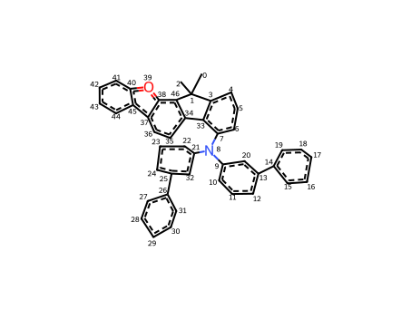 CC1(C)c2cccc(N(c3cccc(-c4ccccc4)c3)c3cccc(-c4ccccc4)c3)c2-c2ccc3c(oc4ccccc43)c21